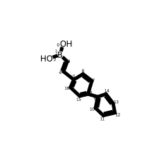 OB(O)C=Cc1ccc(-c2ccccc2)cc1